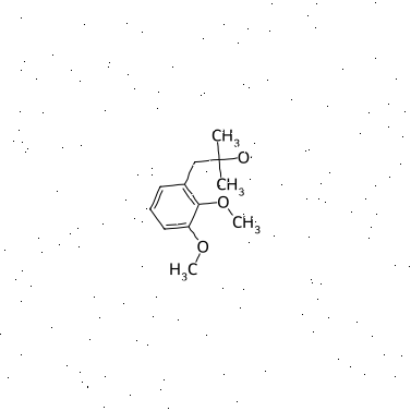 COc1cccc(CC(C)(C)[O])c1OC